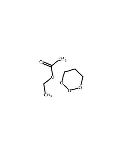 C1COOOC1.CCOC(C)=O